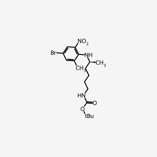 Cc1cc(Br)cc([N+](=O)[O-])c1N[C@@H](C)CCCCNC(=O)OC(C)(C)C